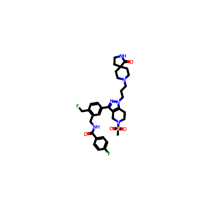 CS(=O)(=O)N1CCc2c(c(-c3ccc(CF)c(CNC(=O)c4ccc(F)cc4)c3)nn2CCCN2CCC3(CCNC3=O)CC2)C1